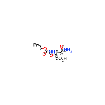 CC(C)CCOC(=O)NO[C@H](CCC(N)=O)C(=O)O